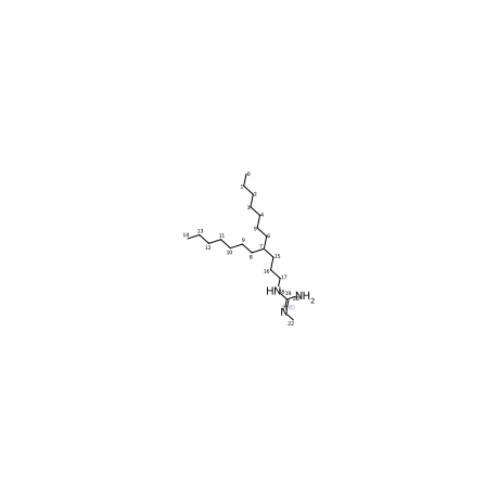 CCCCCCCC(CCCCCCC)CCCN/C(N)=N/C